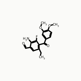 CCc1cc(C=O)c(N)c(F)c1C(=O)c1ccc(OC)c(OC)c1